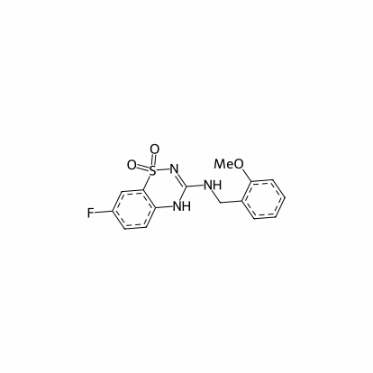 COc1ccccc1CNC1=NS(=O)(=O)c2cc(F)ccc2N1